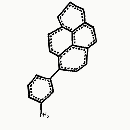 Pc1cccc(-c2ccc3ccc4cccc5ccc2c3c45)c1